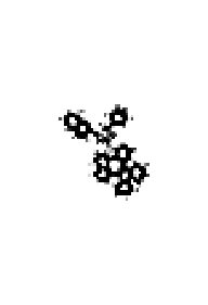 c1ccc(C2=C(c3ccccc3)c3cccc4c3c3c5c2cccc5ccc3n4-c2nc(-c3ccccc3)nc(-c3ccc4ccccc4c3)n2)cc1